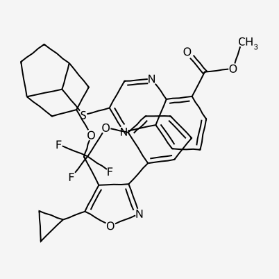 COC(=O)c1cccc2nc(SC3C4CCC3CC(OCc3c(-c5ccccc5OC(F)(F)F)noc3C3CC3)C4)cnc12